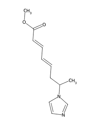 COC(=O)/C=C/C=C/CC(C)n1ccnc1